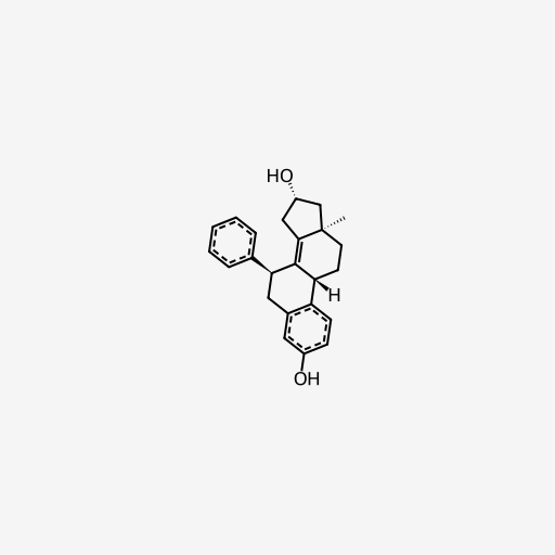 C[C@]12CC[C@H]3C(=C1C[C@H](O)C2)[C@H](c1ccccc1)Cc1cc(O)ccc13